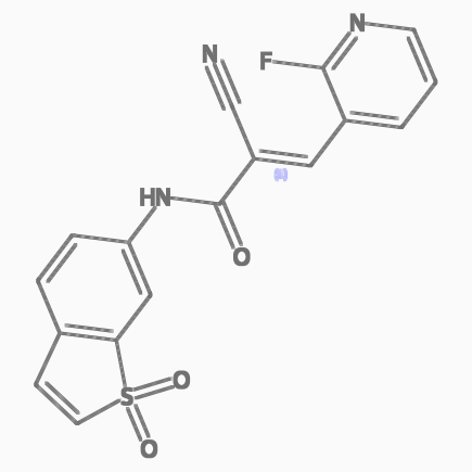 N#C/C(=C\c1cccnc1F)C(=O)Nc1ccc2c(c1)S(=O)(=O)C=C2